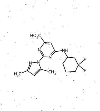 Cc1cc(C)n(-c2nc(NC3CCCC(F)(F)C3)cc(C(=O)O)n2)n1